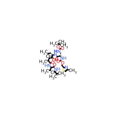 Cc1csc(COC(=O)N[C@@H](CNC(=O)OC(C)(C)C)C(=O)N[C@@H](CC(C)C)[C@@H](O)C[C@@H](C)C(=O)N[C@H](C(=O)NCC(C)C)C(C)C)n1